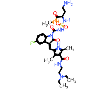 CCN(CC)CCNC(=O)c1c(C)[nH]c(/C=C2\C(=O)N(C(=O)NS(=O)(=O)NC(CCN)C(=O)PC)c3ccc(F)cc32)c1C